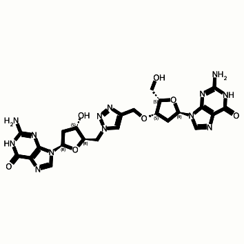 Nc1nc2c(ncn2[C@H]2C[C@H](OCc3cn(C[C@H]4O[C@@H](n5cnc6c(=O)[nH]c(N)nc65)C[C@@H]4O)nn3)[C@H](CO)O2)c(=O)[nH]1